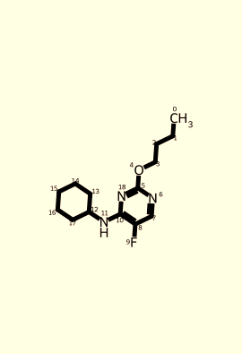 CCCCOc1ncc(F)c(NC2CCCCC2)n1